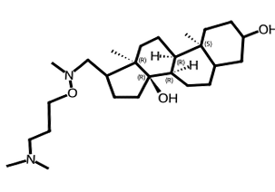 CN(C)CCCON(C)CC1CC[C@@]2(O)[C@@H]3CCC4CC(O)CC[C@]4(C)[C@@H]3CC[C@]12C